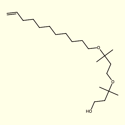 C=CCCCCCCCCCOC(C)(C)CCOC(C)(C)CCO